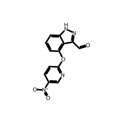 O=Cc1n[nH]c2cccc(Oc3ccc([N+](=O)[O-])cn3)c12